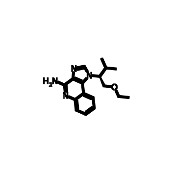 CCOC[C@H](C(C)C)n1cnc2c(N)nc3ccccc3c21